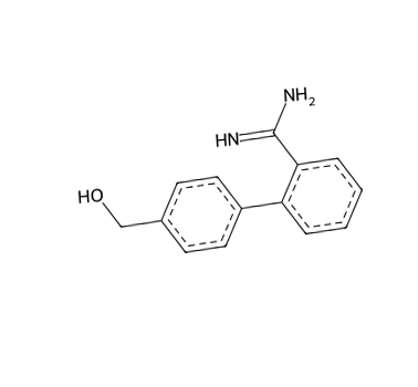 N=C(N)c1ccccc1-c1ccc(CO)cc1